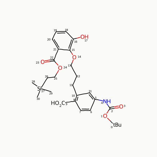 CC(C)(C)OC(=O)Nc1ccc(C(=O)O)c(CCCOc2c(O)cccc2C(=O)OCC[Si](C)(C)C)c1